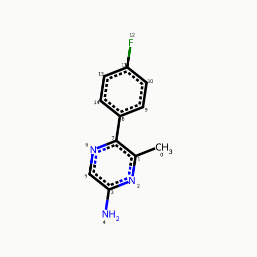 Cc1nc(N)cnc1-c1ccc(F)cc1